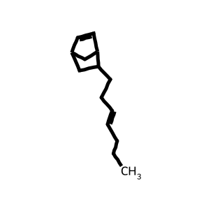 CCCC=CCCC1CC2C=CC1C2